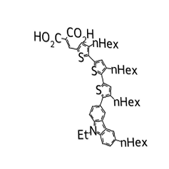 CCCCCCc1ccc2c(c1)c1cc(-c3sc(-c4sc(-c5sc(C=C(C(=O)O)C(=O)O)cc5CCCCCC)cc4CCCCCC)cc3CCCCCC)ccc1n2CC